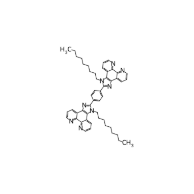 CCCCCCCCCn1c(-c2ccc(-c3nc4c5cccnc5c5ncccc5c4n3CCCCCCCCC)cc2)nc2c3cccnc3c3ncccc3c21